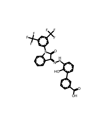 O=C(O)c1cccc(-c2cccc(N/N=C3\C(=O)N(c4cc(C(F)(F)F)cc(C(F)(F)F)c4)c4ccccc43)c2O)c1